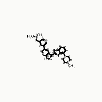 CN(C)Cc1cncc(-c2cnc3[nH]nc(-c4nc5c(N6CCN(C)CC6)cccc5[nH]4)c3c2)c1